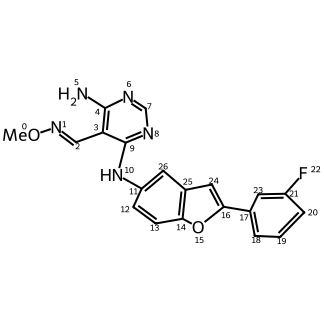 CON=Cc1c(N)ncnc1Nc1ccc2oc(-c3cccc(F)c3)cc2c1